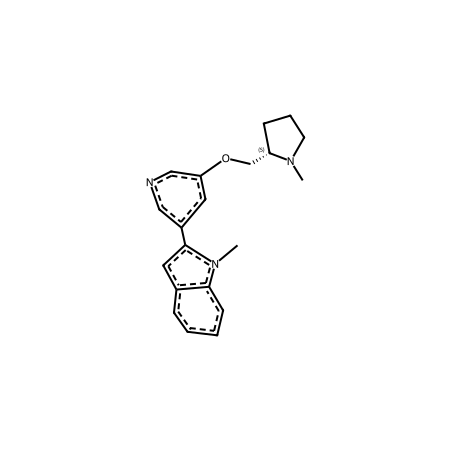 CN1CCC[C@H]1COc1cncc(-c2cc3ccccc3n2C)c1